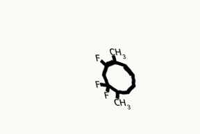 CC1=C(\F)CC(F)(F)C(C)CC/C=C\1